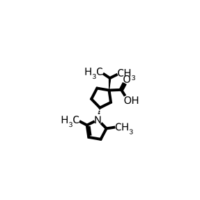 CC1=CCC(C)N1[C@@H]1CC[C@@](C(=O)O)(C(C)C)C1